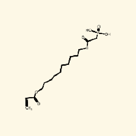 C=CC(=O)OCCCCCCCCCCOC(=O)CP(=O)(O)O